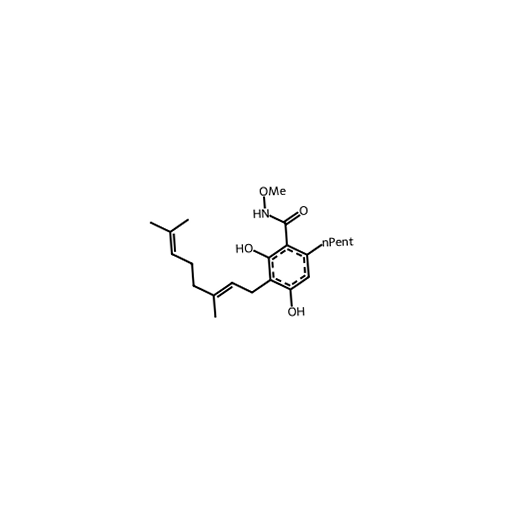 CCCCCc1cc(O)c(C/C=C(\C)CCC=C(C)C)c(O)c1C(=O)NOC